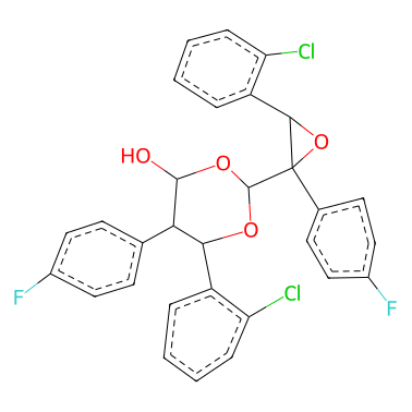 OC1OC(C2(c3ccc(F)cc3)OC2c2ccccc2Cl)OC(c2ccccc2Cl)C1c1ccc(F)cc1